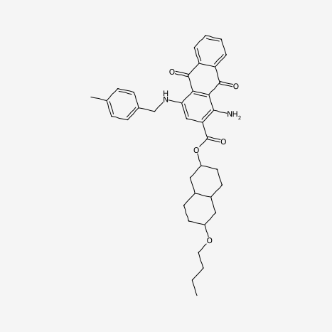 CCCCOC1CCC2CC(OC(=O)c3cc(NCc4ccc(C)cc4)c4c(c3N)C(=O)c3ccccc3C4=O)CCC2C1